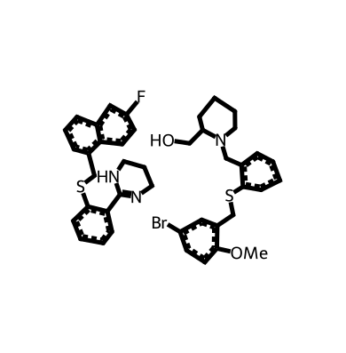 COc1ccc(Br)cc1CSc1ccccc1CN1CCCCC1CO.Fc1ccc2c(CSc3ccccc3C3=NCCCN3)cccc2c1